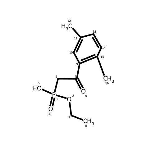 CCOP(=O)(O)CC(=O)c1cc(C)ccc1C